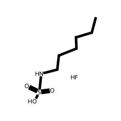 CCCCCCNS(=O)(=O)O.F